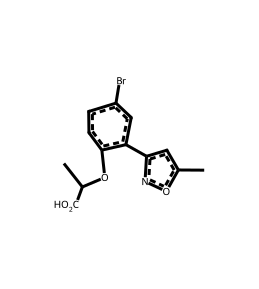 Cc1cc(-c2cc(Br)ccc2OC(C)C(=O)O)no1